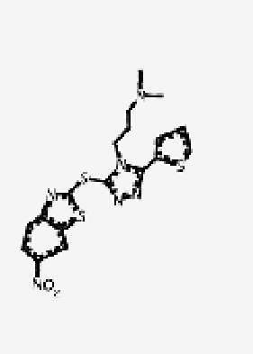 CN(C)CCCn1c(Sc2nc3ccc([N+](=O)[O-])cc3s2)nnc1-c1cccs1